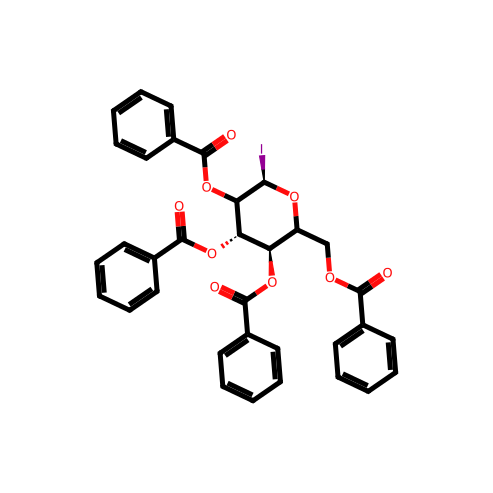 O=C(OCC1O[C@H](I)C(OC(=O)c2ccccc2)[C@@H](OC(=O)c2ccccc2)[C@@H]1OC(=O)c1ccccc1)c1ccccc1